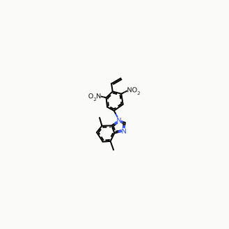 C=Cc1c([N+](=O)[O-])cc(-n2cnc3c(C)ccc(C)c32)cc1[N+](=O)[O-]